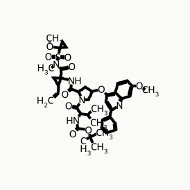 C=CC1CC1(NC(=O)C1CC(Oc2cc(-c3ccccc3)nc3cc(OC)ccc23)CN1C(=O)C(NC(=O)OC(C)(C)C)C(C)C)C(=O)N(C)S(=O)(=O)C1(OC)CC1